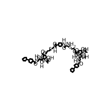 CC(=O)N[C@H]1[C@H]([C@H](O)[C@H](O)CNC(=O)c2ccc(-c3ccccc3)cc2)O[C@](C=O)(OCCCSCCNC(=O)c2ccc(NC(=O)C(N)CSCCCO[C@]3(C(=O)O)C[C@H](O)[C@@H](NC(C)=O)[C@H]([C@H](O)[C@H](O)CNC(=O)c4ccc(-c5ccccc5)cc4)O3)cc2)C[C@@H]1O